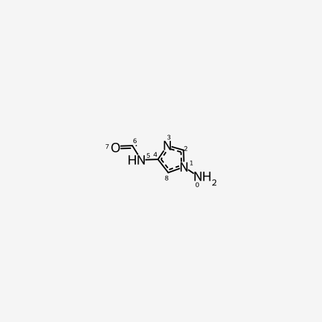 Nn1cnc(N[C]=O)c1